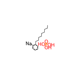 CCCCCCCCCc1cccc[c]1[Na].O=P(O)(O)O